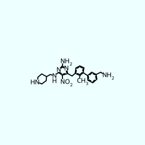 Cc1c(Cc2nc(N)nc(NCC3CCNCC3)c2[N+](=O)[O-])cccc1-c1cccc(CN)c1